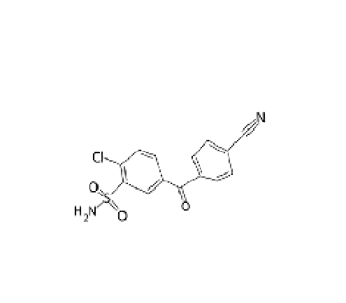 N#Cc1ccc(C(=O)c2ccc(Cl)c(S(N)(=O)=O)c2)cc1